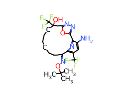 CC(C)(C)ON=C1CCCCCC[C@](O)(C(F)(F)F)c2nnc(o2)-c2nc1c(C(F)(F)F)cc2N